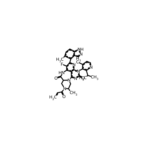 C=CC(=O)N1CC2C(=O)Nc3c(F)c(-c4c(C)ccc5[nH]ncc45)nc4c3c(nc(=O)n4-c3c(C)ccnc3C(C)C)N2CC1C